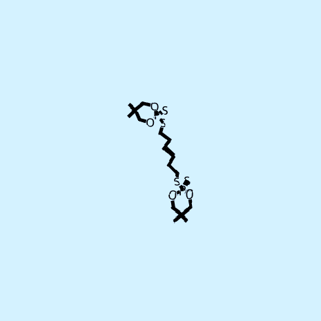 CC1(C)COP(=S)(SCCC=CCCSP2(=S)OCC(C)(C)CO2)OC1